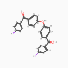 O=C(c1ccc(I)cc1)c1ccc(Oc2ccc(C(=O)c3ccc(I)cc3)cc2)cc1